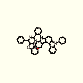 c1ccc(-c2nc(-c3ccccc3-n3c4ccccc4c4c5c6ccccc6n(-c6ccccc6)c5ccc43)nc3c2oc2ccccc23)cc1